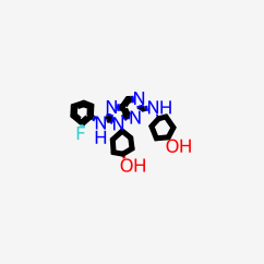 O[C@H]1CC[C@H](Nc2ncc3nc(Nc4ccccc4F)n([C@H]4CC[C@H](O)CC4)c3n2)CC1